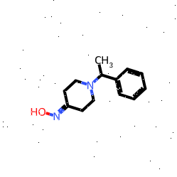 CC(c1ccccc1)N1CCC(=NO)CC1